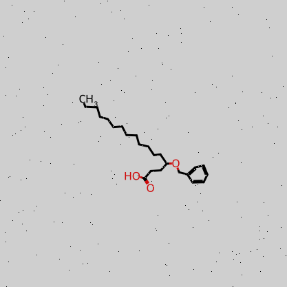 CCCCCCCCCCCCCC(CCC(=O)O)OCc1ccccc1